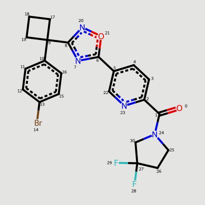 O=C(c1ccc(-c2nc(C3(c4ccc(Br)cc4)CCC3)no2)cn1)N1CCC(F)(F)C1